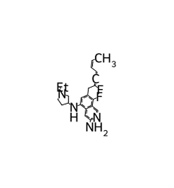 C/C=C\C=C=C(F)Cc1cc(NC2CCN(CC)C2)c2cc(N)ncc2c1F